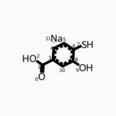 O=C(O)c1ccc(S)c(O)c1.[Na]